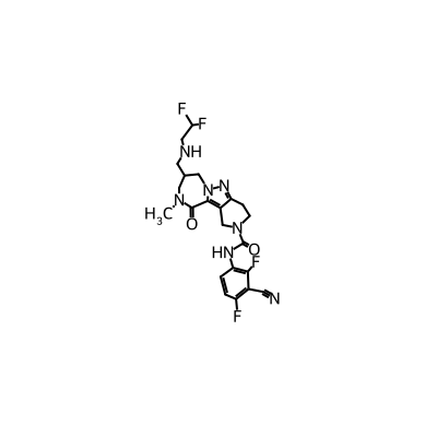 CN1CC(CNCC(F)F)Cn2nc3c(c2C1=O)CN(C(=O)Nc1ccc(F)c(C#N)c1F)CC3